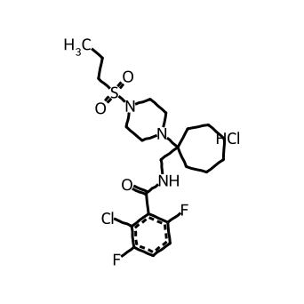 CCCS(=O)(=O)N1CCN(C2(CNC(=O)c3c(F)ccc(F)c3Cl)CCCCCC2)CC1.Cl